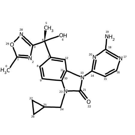 Cc1nc([C@](C)(O)c2ccc3c(c2)n(-c2ccnc(N)n2)c(=O)n3CC2CC2)no1